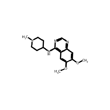 COc1cc2ncnc(NC3CCN(C)CC3)c2cc1OC